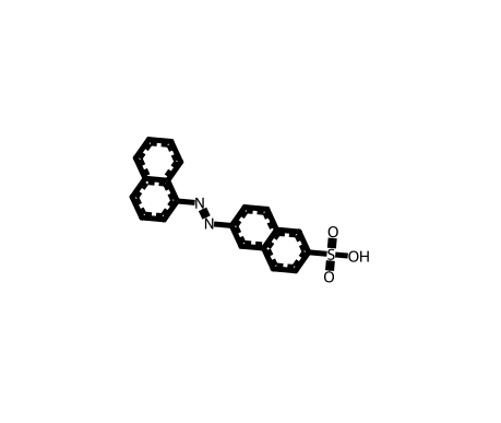 O=S(=O)(O)c1ccc2cc(N=Nc3cccc4ccccc34)ccc2c1